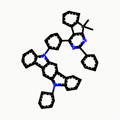 C[Si]1(C)c2ccccc2-c2c(-c3cccc(-n4c5ccccc5c5cc6c(cc54)c4ccccc4n6-c4ccccc4)c3)nc(-c3ccccc3)nc21